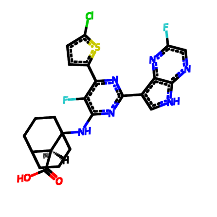 O=C(O)[C@H]1C2CCCC1(Nc1nc(-c3c[nH]c4ncc(F)nc34)nc(-c3ccc(Cl)s3)c1F)CCC2